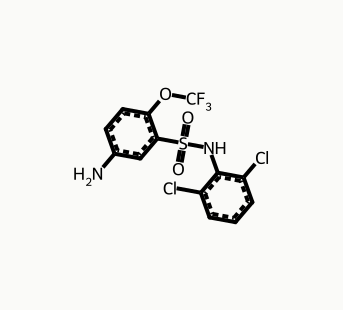 Nc1ccc(OC(F)(F)F)c(S(=O)(=O)Nc2c(Cl)cccc2Cl)c1